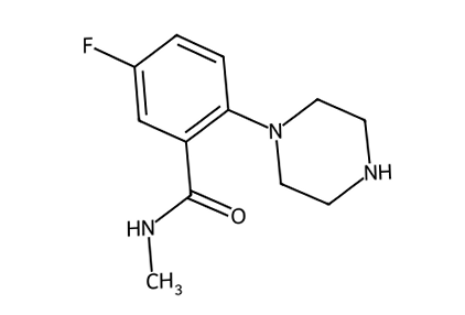 CNC(=O)c1cc(F)ccc1N1CCNCC1